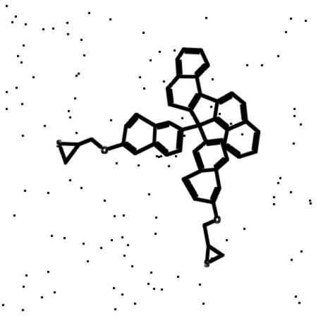 c1ccc2c3c(ccc2c1)C(c1ccc2cc(OCC4CS4)ccc2c1)(c1ccc2cc(OCC4CS4)ccc2c1)c1c-3ccc2ccccc12